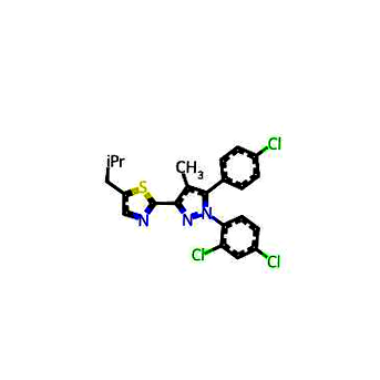 Cc1c(-c2ncc(CC(C)C)s2)nn(-c2ccc(Cl)cc2Cl)c1-c1ccc(Cl)cc1